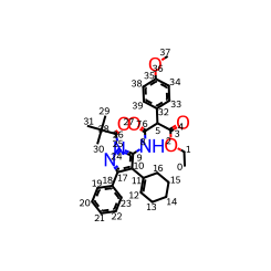 CCOC(=O)C(C(=O)Nc1c(C2=CCCCC2)c(-c2ccccc2)nn1C(=O)C(C)(C)C)c1ccc(OC)cc1